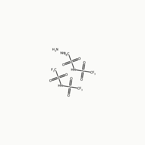 N.N.O=S(=O)(NS(=O)(=O)C(F)(F)F)C(F)(F)F.O=S(=O)(NS(=O)(=O)C(F)(F)F)C(F)(F)F